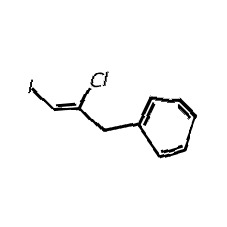 ClC(=CI)Cc1ccccc1